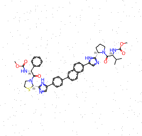 COC(=O)N[C@H](C(=O)N1CCC[C@H]1c1ncc(-c2ccc3cc(-c4ccc(-c5cnc([C@@H]6SCCN6C(=O)[C@H](NC(=O)OC)c6ccccc6)[nH]5)cc4)ccc3c2)[nH]1)C(C)C